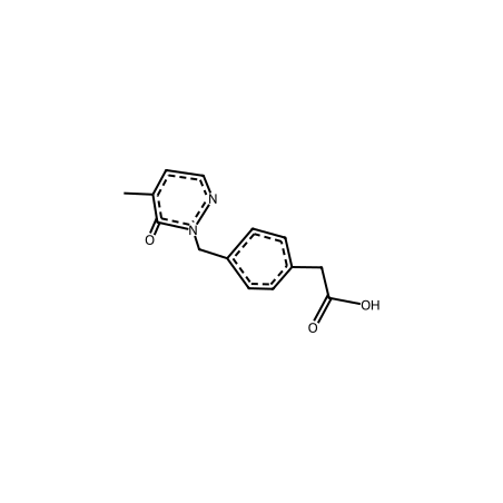 Cc1ccnn(Cc2ccc(CC(=O)O)cc2)c1=O